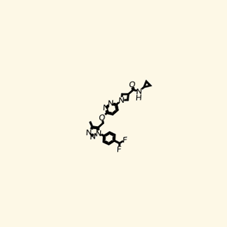 Cc1nnn(-c2ccc(C(F)F)cc2)c1COc1ccc(N2CC(C(=O)NC3CC3)C2)nn1